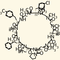 CC[C@H](C)[C@@H]1NC(=O)[C@H](C)N(C)C(=O)C[C@@H](C(=O)N2CCCC2)NC(=O)[C@H](CC(C)C)N(C)C(=O)[C@H](CCc2ccccc2)N(C)C(=O)[C@H](CC(C)C)NC(=O)[C@H](CCc2ccc(C(F)(F)F)cc2)NC(=O)CN(C)C(=O)[C@H](Cc2ccc(Cl)cc2)N(C)C(=O)CN(C)C(=O)CN(C)C1=O